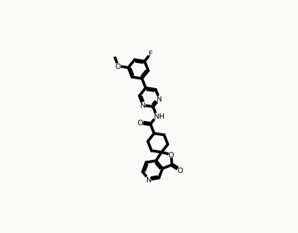 COc1cc(F)cc(-c2cnc(NC(=O)C3CCC4(CC3)OC(=O)c3cnccc34)nc2)c1